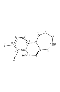 CC(=O)NC[C@@H]1CNCCO[C@H]1c1ccc(Cl)c(F)c1